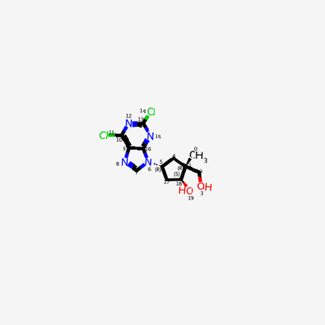 C[C@]1(CO)C[C@@H](n2cnc3c(Cl)nc(Cl)nc32)C[C@@H]1O